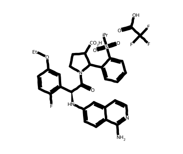 CCOc1ccc(F)c([C@H](Nc2ccc3c(N)nccc3c2)C(=O)N2CCC(C(=O)O)C2c2ccccc2S(=O)(=O)C(C)C)c1.O=C(O)C(F)(F)F